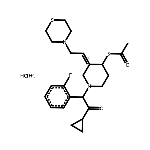 CC(=O)SC1CCN(C(C(=O)C2CC2)c2ccccc2F)C/C1=C\CN1CCSCC1.Cl.Cl